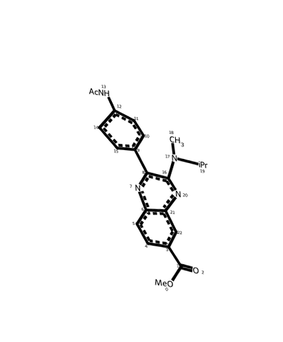 COC(=O)c1ccc2nc(-c3ccc(NC(C)=O)cc3)c(N(C)C(C)C)nc2c1